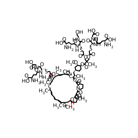 CO[C@H]1C[C@@H]2CC[C@@H](C)[C@@](O)(O2)C(=O)C(=O)N2CCCC[C@H]2C(=O)O[C@H]([C@H](C)C[C@@H]2CC[C@@H](OC(=O)C(C)(COC(=O)CSC[C@H](NC(=O)CC[C@H](N)C(=O)O)C(=O)NCCO)COC(=O)CSC[C@H](NC(=O)CC[C@H](N)C(=O)O)C(=O)NCC(=O)O)[C@H](OC)C2)CC(=O)[C@H](C)/C=C(\C)[C@@H](OC(=O)CSC[C@H](NC(=O)CC[C@H](N)C(=O)O)C(=O)NCC(=O)O)[C@@H](OC)C(=O)[C@H](C)C[C@H](C)/C=C/C=C/C=C/1C